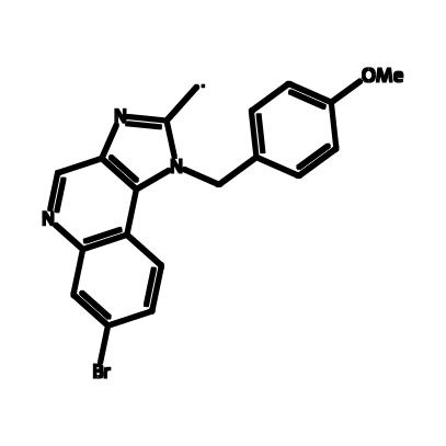 [CH2]c1nc2cnc3cc(Br)ccc3c2n1Cc1ccc(OC)cc1